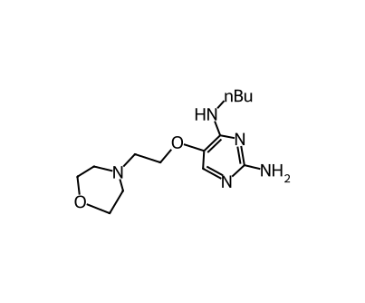 CCCCNc1nc(N)ncc1OCCN1CCOCC1